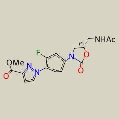 COC(=O)c1ccn(-c2ccc(N3C[C@H](CNC(C)=O)OC3=O)cc2F)n1